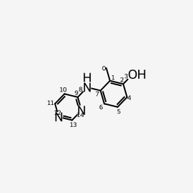 Cc1c(O)cccc1Nc1ccncn1